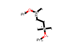 CC(C)O[SiH](C)CC[Si](C)(C)OC(C)C